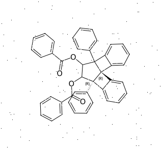 O=C(OC1C(OC(=O)c2ccccc2)[C@]2(c3ccccc3)c3ccccc3[C@@]23c2ccccc2C13c1ccccc1)c1ccccc1